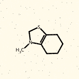 CN1CSC2=C1CCCC2